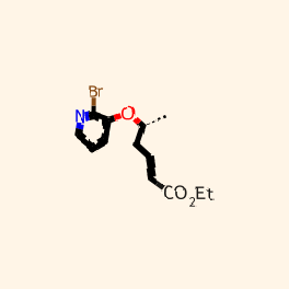 CCOC(=O)/C=C/C[C@@H](C)Oc1cccnc1Br